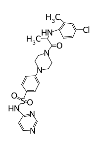 Cc1cc(Cl)ccc1NC(C)C(=O)N1CCN(c2ccc(S(=O)(=O)Nc3ccncn3)cc2)CC1